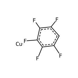 Fc1cc(F)c(F)c(F)c1F.[Cu]